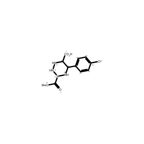 COC(=O)N1NNC(C(=O)O)C(c2ccc(Cl)cc2)N1